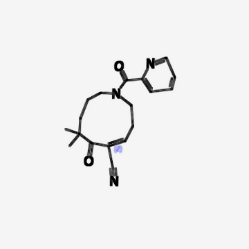 CC1(C)CCCN(C(=O)c2ccccn2)CC/C=C(/C#N)C1=O